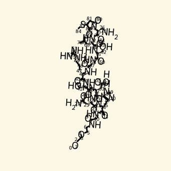 COCCOCCNC(=O)CNC(=O)[C@H](Cc1c[nH]cn1)NC(=O)[C@H](CC(N)=O)NC(=O)[C@H](CC(=O)O)NC(=O)[C@H](CO)NC(=O)[C@H](CCCNC(=N)N)NC(=O)CNC(=O)[C@H](CO)NC(=O)[C@H](CC(C)C)NC(=O)[C@H](CN)N1C(=O)CC(SC)C1=O